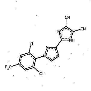 N#Cc1nc(-c2ccn(-c3c(Cl)cc(C(F)(F)F)cc3Cl)n2)[nH]c1C#N